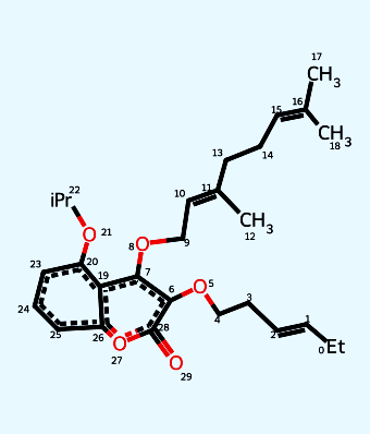 CCC=CCCOc1c(OC/C=C(\C)CCC=C(C)C)c2c(OC(C)C)cccc2oc1=O